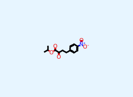 CC(C)OC(=O)C(=O)CCc1ccc([N+](=O)[O-])cc1